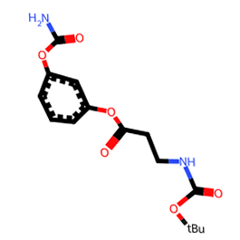 CC(C)(C)OC(=O)NCCC(=O)Oc1cccc(OC(N)=O)c1